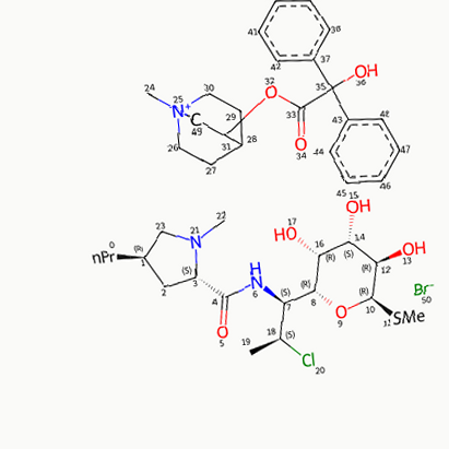 CCC[C@@H]1C[C@@H](C(=O)N[C@@H]([C@H]2O[C@H](SC)[C@H](O)[C@@H](O)[C@H]2O)[C@H](C)Cl)N(C)C1.C[N+]12CCC(CC1)C(OC(=O)C(O)(c1ccccc1)c1ccccc1)C2.[Br-]